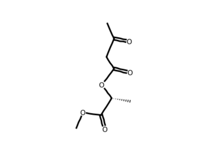 COC(=O)[C@@H](C)OC(=O)CC(C)=O